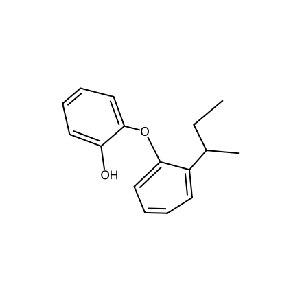 CCC(C)c1ccccc1Oc1ccccc1O